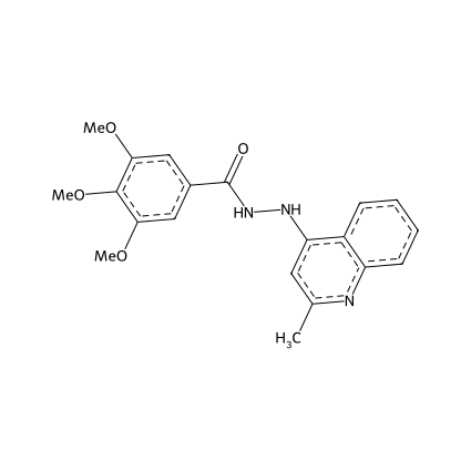 COc1cc(C(=O)NNc2cc(C)nc3ccccc23)cc(OC)c1OC